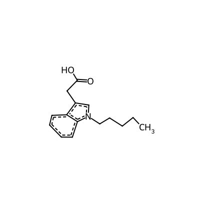 CCCCCn1cc(CC(=O)O)c2ccccc21